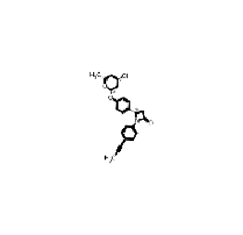 CC#Cc1ccc(N2C(=O)C[C@H]2c2ccc(O[C@H]3C[C@@H](O)C[C@@H](C)O3)cc2)cc1